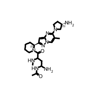 CNC(CC(N)NC(C)=O)C(=O)N1CCCC[C@H]1c1cc2nc(N3CC[C@H](N)C3)c(C)cn2n1